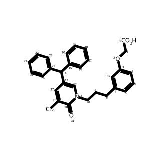 O=C(O)COc1cccc(CCCn2cc(C(c3ccccc3)c3ccccc3)cc(Cl)c2=O)c1